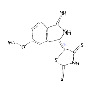 CCOc1ccc2c(c1)/C(=C1\SC(=S)NC1=S)NC2=N